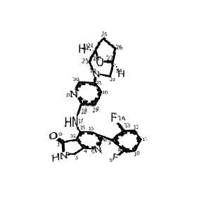 O=C1NCc2nc(-c3c(F)cccc3F)cc(Nc3ccc(N4C[C@H]5CC[C@@H](C4)O5)cn3)c21